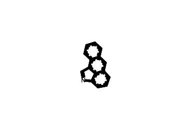 C1=Nc2cccc3cc4ccccc4c1c23